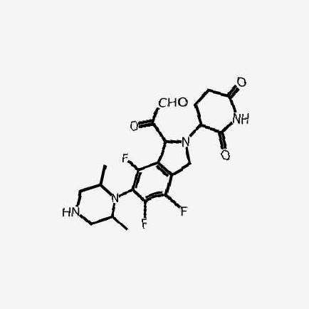 CC1CNCC(C)N1c1c(F)c(F)c2c(c1F)C(C(=O)C=O)N(C1CCC(=O)NC1=O)C2